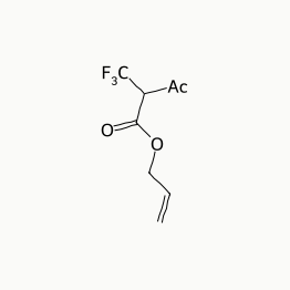 C=CCOC(=O)C(C(C)=O)C(F)(F)F